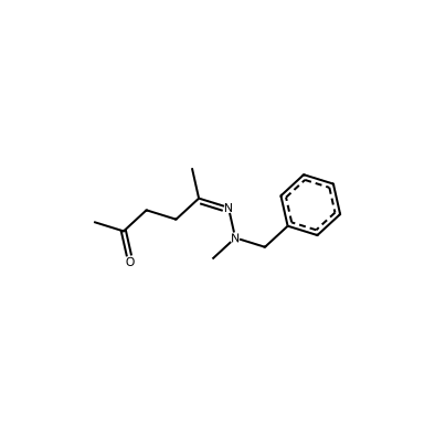 CC(=O)CCC(C)=NN(C)Cc1ccccc1